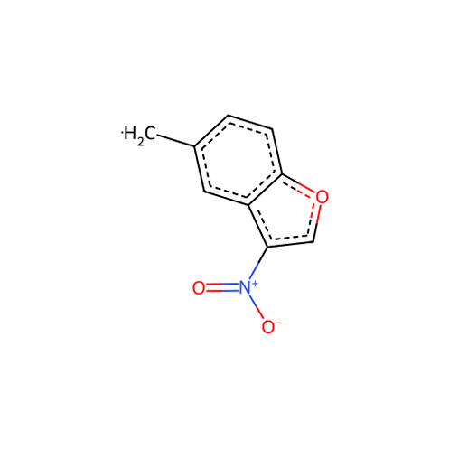 [CH2]c1ccc2occ([N+](=O)[O-])c2c1